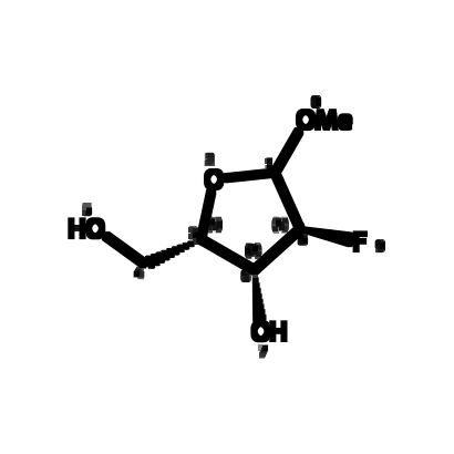 COC1O[C@@H](CO)[C@@H](O)[C@@H]1F